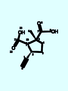 C#C[C@H]1CC[C@@](C)(C(=O)O)N1C(=O)O